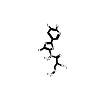 CSCC(C)C(=O)N(C)c1sc(-c2cnc(Cl)c(F)c2)nc1Cl